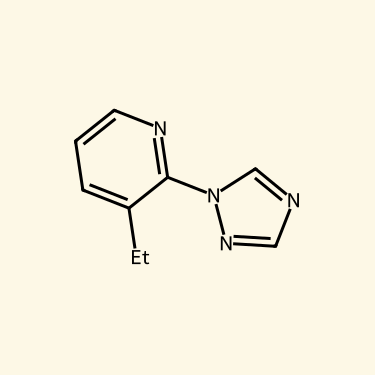 CCc1cccnc1-n1cncn1